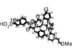 COCCN1CCN(c2ccc(C[C@@H](C(=O)Nc3ccc4[nH]c(C(=O)O)cc4c3)N3CCN(c4cc(Cl)ccc4-n4cnnn4)C(=O)C3=O)cc2)C(=O)C1